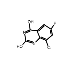 Oc1nc(O)c2cc(F)cc(Cl)c2n1